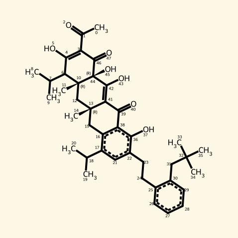 CC(=O)C1=C(O)C(C(C)C)[C@@]2(C)C[C@@]3(C)Cc4c(C(C)C)cc(CCc5ccccc5CC(C)(C)C)c(O)c4C(=O)C3=C(O)[C@@]2(O)C1=O